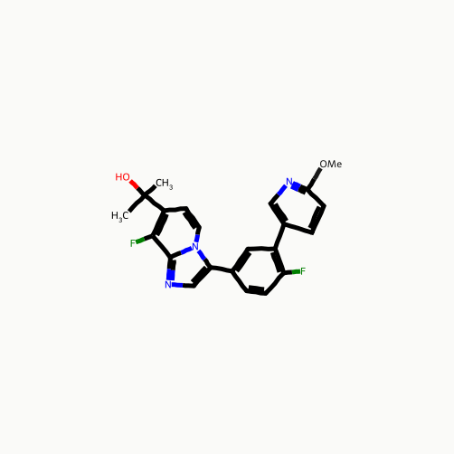 COc1ccc(-c2cc(-c3cnc4c(F)c(C(C)(C)O)ccn34)ccc2F)cn1